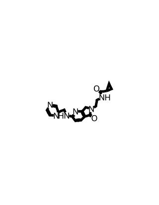 O=C(NCCN1Cc2nc(NCc3cnccn3)ccc2C1=O)C1CC1